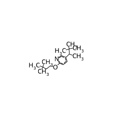 CC(c1ccc(OCCC(C)(C)C)nc1)C(C)(C)C